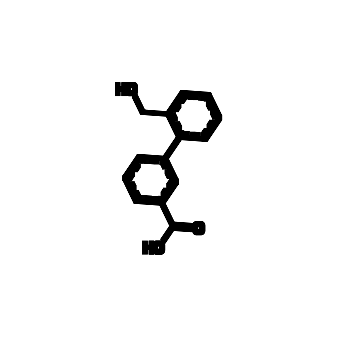 O=C(O)c1cccc(-c2ccccc2CO)c1